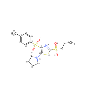 CCCS(=O)(=O)c1nc(S(=O)(=O)c2ccc(C)cc2)c(N2CCCC2)s1